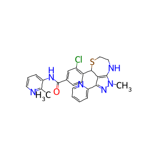 Cc1ncccc1NC(=O)c1ccc(C2SCCNc3c2c(-c2ccccn2)nn3C)c(Cl)c1